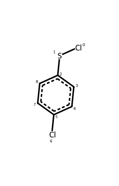 ClSc1ccc(Cl)cc1